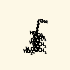 CCCCCCCCCCCCCCCCCC[C@]1(O)CC[C@@]2(C)C(CC[C@]3(C)[C@@H]2C(=O)C=C2[C@H]4C[C@@](C)(C(=O)O)CC[C@]4(C)CC[C@]23C)C1(C)C